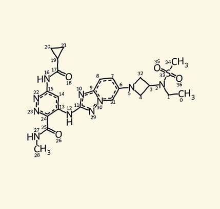 CCN(C1CN(c2ccc3nc(Nc4cc(NC(=O)C5CC5)nnc4C(=O)NC)nn3c2)C1)S(C)(=O)=O